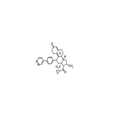 CC1C[C@H]2[C@@H]3CCC4=CC(=O)CCC4=C3C(c3ccc(-c4ccnnc4)cc3)C[C@]2(C)C1C(=O)C1CC1